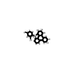 Cc1ccc(-n2c3cccc4c5ccccc5c5cccc2c5c43)c(C)c1